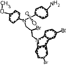 COc1ccc(N(CC(Br)Cn2c3ccc(Br)cc3c3cc(Br)ccc32)S(=O)(=O)c2ccc(N)cc2)cc1